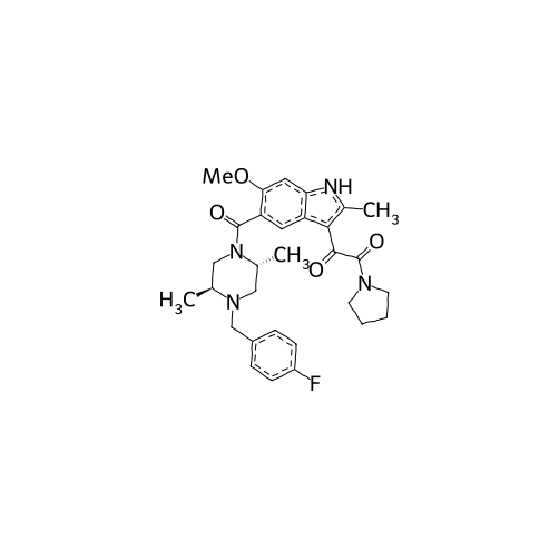 COc1cc2[nH]c(C)c(C(=O)C(=O)N3CCCC3)c2cc1C(=O)N1C[C@H](C)N(Cc2ccc(F)cc2)C[C@H]1C